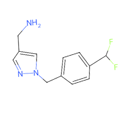 NCc1cnn(Cc2ccc(C(F)F)cc2)c1